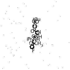 Cc1c(C(NC(=O)Nc2cncc(C(=O)N3CCN(C(=O)OC(C)(C)C)CC3)c2)C(C)C)oc2ccc(F)cc12